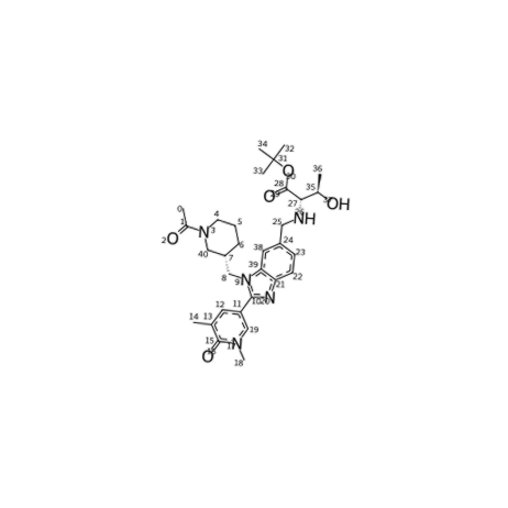 CC(=O)N1CCC[C@H](Cn2c(-c3cc(C)c(=O)n(C)c3)nc3ccc(CN[C@H](C(=O)OC(C)(C)C)[C@@H](C)O)cc32)C1